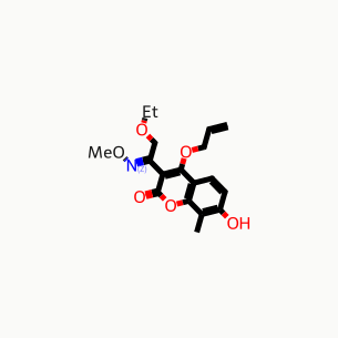 C=CCOc1c(/C(COCC)=N/OC)c(=O)oc2c(C)c(O)ccc12